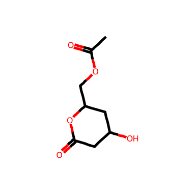 CC(=O)OCC1CC(O)CC(=O)O1